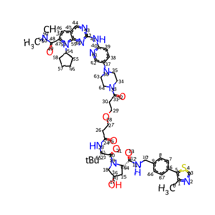 Cc1ncsc1-c1ccc(CNC(=O)[C@@H]2C[C@@H](O)CN2C(=O)[C@@H](NC(=O)CCOCCC(=O)N2CCN(c3ccc(Nc4ncc5cc(C(=O)N(C)C)n(C6CCCC6)c5n4)nc3)CC2)C(C)(C)C)cc1